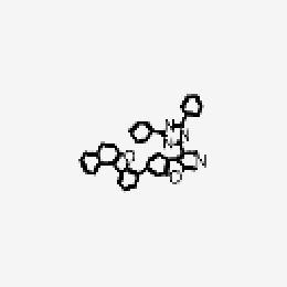 c1ccc(-c2nc(-c3ccccc3)nc(-c3cncc4oc5cc(-c6cccc7c6oc6ccc8ccccc8c67)ccc5c34)n2)cc1